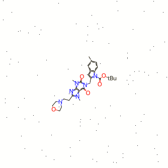 Cc1ccc2c(c1)cc(Cn1c(=O)c3c(nc(CCN4CCOCC4)n3C)n(C)c1=O)n2C(=O)OC(C)(C)C